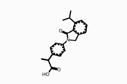 CC(C)c1cccc2c1C(=O)N(c1ccc(C(C)C(=O)O)cc1)C2